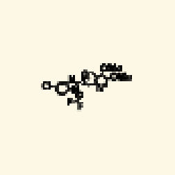 COc1cnc(C[S+]([O-])c2nc3cc(Cl)ccc3n2OC(F)F)c(C)c1OC